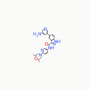 CC1CN(c2ccc(NC(=O)c3n[nH]c4ccc(-c5cncc(N)c5)cc34)cn2)CC(C)O1